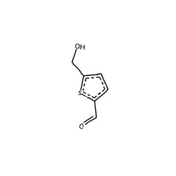 O=Cc1ccc(CO)s1